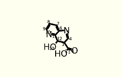 O=C(O)C1C=Nc2cccnc2C1O